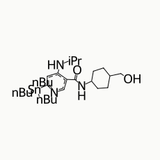 CCC[CH2][Sn]([CH2]CCC)([CH2]CCC)[c]1cc(NC(C)C)c(C(=O)NC2CCC(CO)CC2)cn1